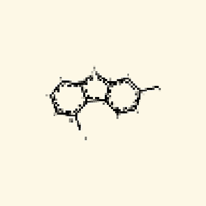 Cc1ccc2c(c1)oc1cccc(F)c12